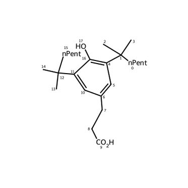 CCCCCC(C)(C)c1cc(CCC(=O)O)cc(C(C)(C)CCCCC)c1O